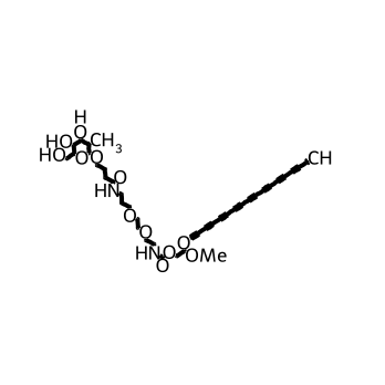 C#CC#CC#CC#CC#CC#CC#CC#CC#COC(COC(=O)NCCOCCOCCCNC(=O)CCCOC1OC(CO)C(O)C(O)C1C)OC